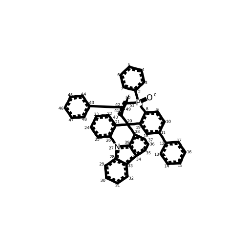 O=P1(c2ccccc2)c2ccc(-c3ccccc3)cc2C2(c3ccccc3-n3c4ccccc4c4cccc2c43)c2cc(-c3ccccc3)ccc21